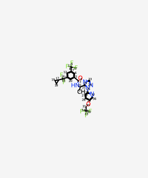 CC(NC(=O)c1cc(C(F)(F)F)cc(C(F)(F)C2CC2)c1)c1ncnn1-c1ccc(OCC(F)(F)F)cn1